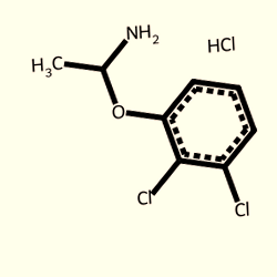 CC(N)Oc1cccc(Cl)c1Cl.Cl